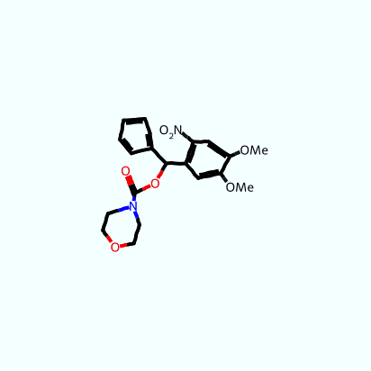 COc1cc(C(OC(=O)N2CCOCC2)c2ccccc2)c([N+](=O)[O-])cc1OC